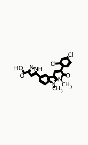 Cn1c(=O)c(-c2ccc(Cl)cc2Cl)cc2c3cc(-c4cc(C(=O)O)n[nH]4)ccc3n(C)c21